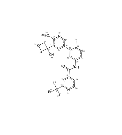 CCC(F)(F)c1cc(C(=O)Nc2cnc(C)c(-c3cnc(OC)c(C4(C#N)COC4)c3)c2)ccn1